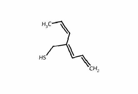 C=C/C=C(\C=C/C)CS